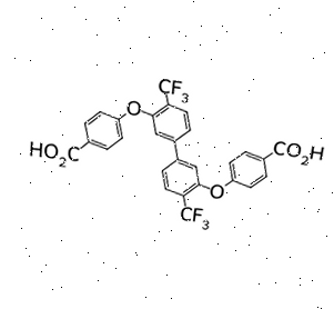 O=C(O)c1ccc(Oc2cc(-c3ccc(C(F)(F)F)c(Oc4ccc(C(=O)O)cc4)c3)ccc2C(F)(F)F)cc1